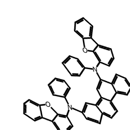 c1ccc(N(c2ccc3ccc4c5ccccc5c(N(c5ccccc5)c5cccc6c5oc5ccccc56)cc4c3c2)c2cccc3c2oc2ccccc23)cc1